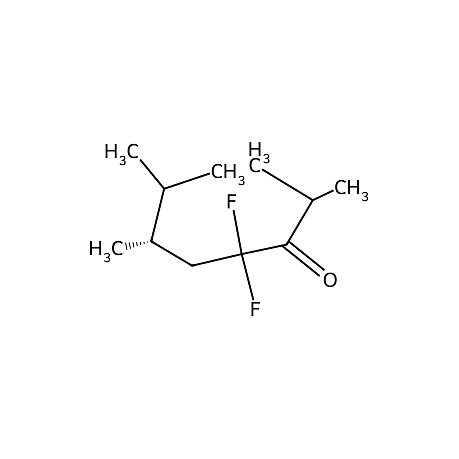 CC(C)C(=O)C(F)(F)C[C@H](C)C(C)C